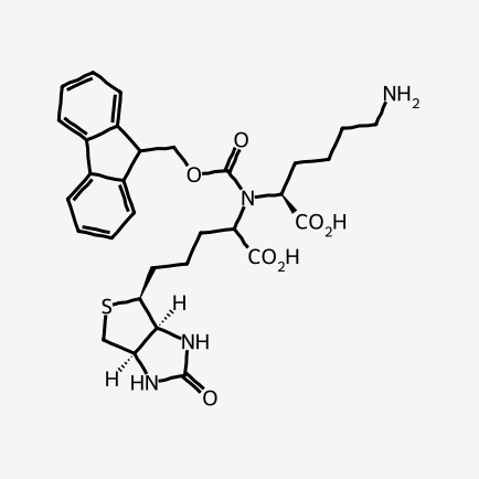 NCCCC[C@@H](C(=O)O)N(C(=O)OCC1c2ccccc2-c2ccccc21)C(CCC[C@@H]1SC[C@@H]2NC(=O)N[C@@H]21)C(=O)O